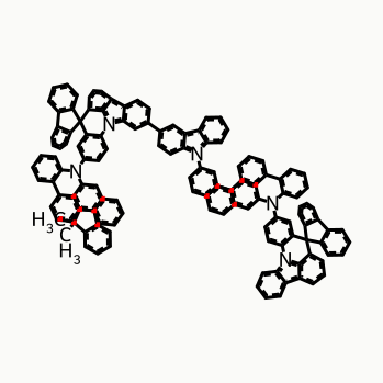 CC1(C)c2ccccc2-c2ccc(N(c3ccc4c(c3)C3(c5ccccc5-c5ccccc53)c3cccc5c6ccc(-c7ccc8c(c7)c7ccccc7n8-c7cccc(-c8ccc(N(c9ccc%10c(c9)C9(c%11ccccc%11-c%11ccccc%119)c9cccc%11c%12ccccc%12n-%10c9%11)c9ccccc9-c9cccc(-c%10ccccc%10)c9)cc8)c7)cc6n-4c35)c3ccccc3-c3cccc(-c4ccccc4)c3)cc21